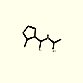 CCC(NC(C)O)C1CCCC1C